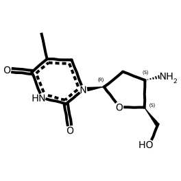 Cc1cn([C@H]2C[C@H](N)[C@@H](CO)O2)c(=O)[nH]c1=O